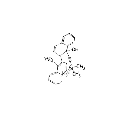 C[Si](C)(C)C#CC1(O)c2ccccc2C=CC1c1ccc2ccccc2c1O